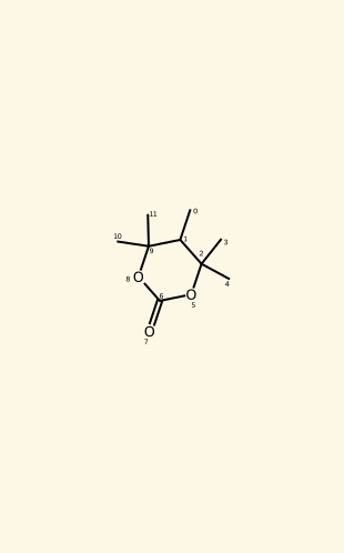 CC1C(C)(C)OC(=O)OC1(C)C